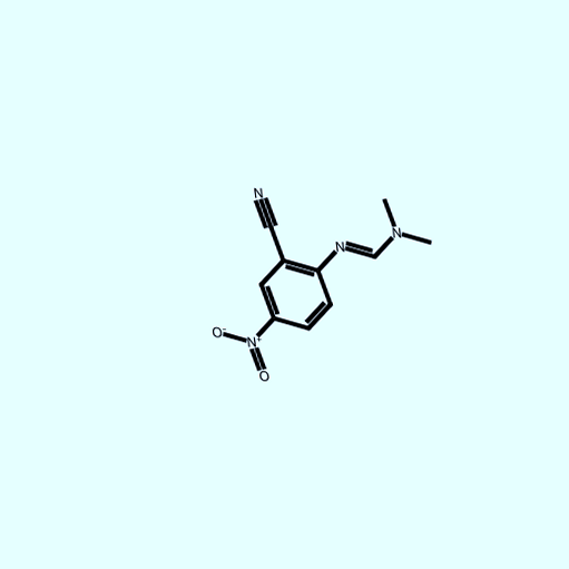 CN(C)C=Nc1ccc([N+](=O)[O-])cc1C#N